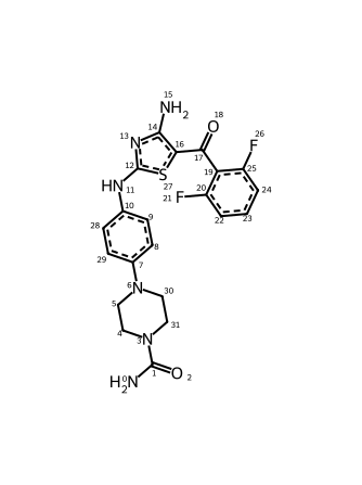 NC(=O)N1CCN(c2ccc(Nc3nc(N)c(C(=O)c4c(F)cccc4F)s3)cc2)CC1